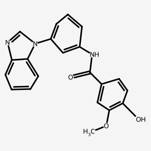 COc1cc(C(=O)Nc2cccc(-n3cnc4ccccc43)c2)ccc1O